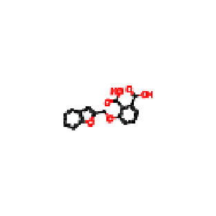 O=C(O)c1cccc(OCc2cc3ccccc3o2)c1C(=O)O